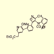 CCOC(=O)Cc1cnc(OC)c(-c2cccc(-c3onc(C)c3N(C(=O)OCC)c3ccccc3Cl)c2)c1